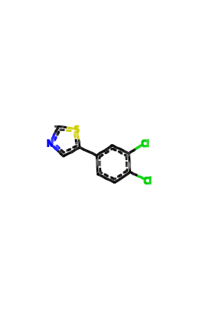 Clc1ccc(-c2cn[c]s2)cc1Cl